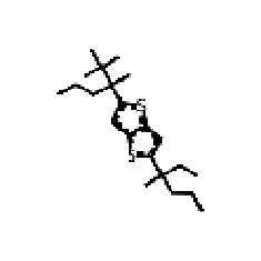 CCCC(C)(CC)c1cc2sc(C(C)(CCC)C(C)(C)C)cc2s1